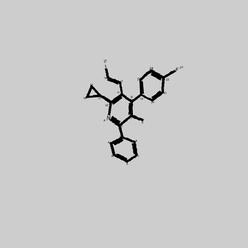 Cc1c(-c2ccccc2)nc(C2CC2)c(/C=C/I)c1-c1ccc(F)cc1